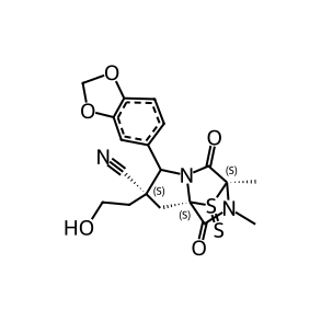 CN1C(=O)[C@@]23C[C@@](C#N)(CCO)C(c4ccc5c(c4)OCO5)N2C(=O)[C@]1(C)S3=S